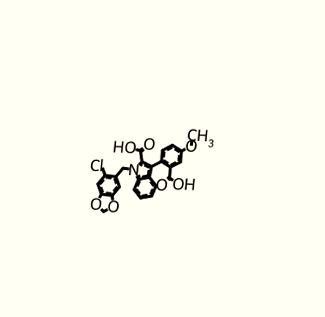 COc1ccc(-c2c(C(=O)O)n(Cc3cc4c(cc3Cl)OCO4)c3ccccc23)c(C(=O)O)c1